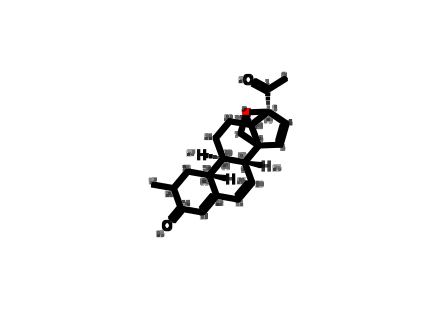 CC(=O)[C@@]12C=CC3(CC1)[C@@H]1C=CC4=CC(=O)C(C)C[C@@H]4[C@H]1CC[C@@]32C